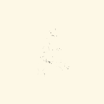 CCCNC(=O)COc1cccc(C2SC(c3ccc(F)cc3)=NN2C(=O)c2cccc(F)c2)c1OC